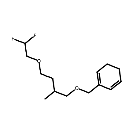 CC(CCOCC(F)F)COCC1=CCCC=C1